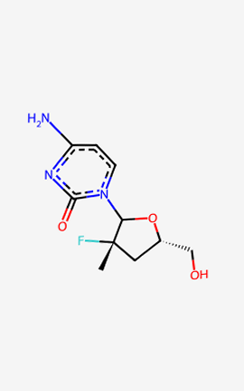 C[C@]1(F)C[C@@H](CO)OC1n1ccc(N)nc1=O